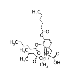 CCCCCC(=O)Oc1ccc(CC(N)(C[C@H](C)OC(=O)CC(C)C)C(=O)O)cc1OC(=O)CCCCC